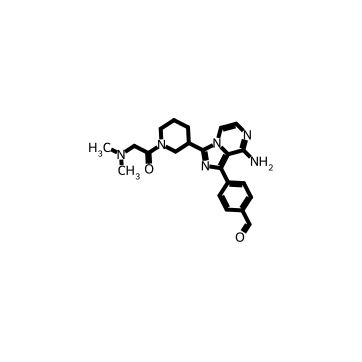 CN(C)CC(=O)N1CCCC(c2nc(-c3ccc(C=O)cc3)c3c(N)nccn23)C1